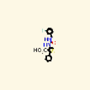 O=C(NCc1cccc(F)c1)Nc1csc(C2CCCCC2)c1C(=O)O